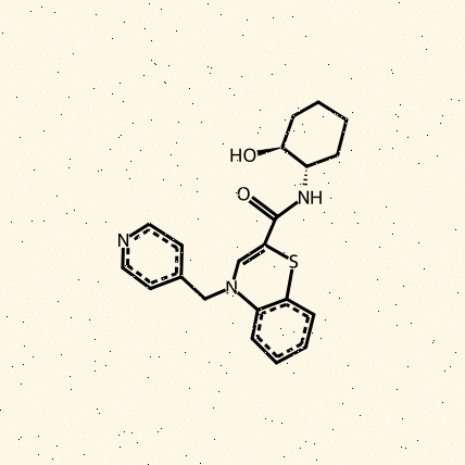 O=C(N[C@H]1CCCC[C@@H]1O)C1=CN(Cc2ccncc2)c2ccccc2S1